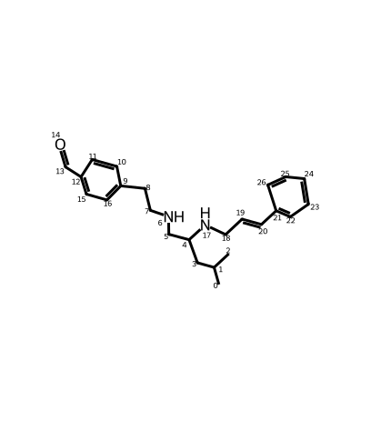 CC(C)CC(CNCCc1ccc(C=O)cc1)NC/C=C/c1ccccc1